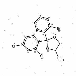 CC1COC(c2ccc(Cl)cc2Cl)(c2ccccc2Br)O1